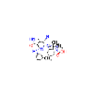 Cc1cccc(Nc2nc(NC3CCCCC3(NC(=O)O)C(C)(C)C)c(C#N)c3c2C(=O)NC3)c1